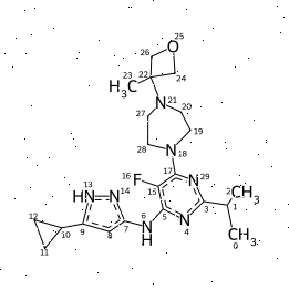 CC(C)c1nc(Nc2cc(C3CC3)[nH]n2)c(F)c(N2CCN(C3(C)COC3)CC2)n1